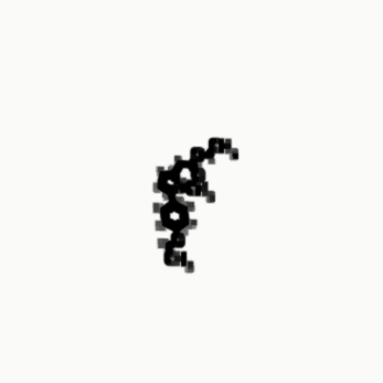 CCOC(=O)Cc1ccc(-c2ccc(OCC)cc2)n1C